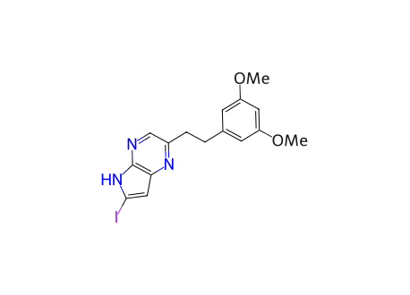 COc1cc(CCc2cnc3[nH]c(I)cc3n2)cc(OC)c1